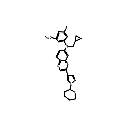 COc1cc(F)cc(N(CC2CC2)c2ccc3ncc(-c4cnn(C5CCCCO5)c4)nc3c2)c1